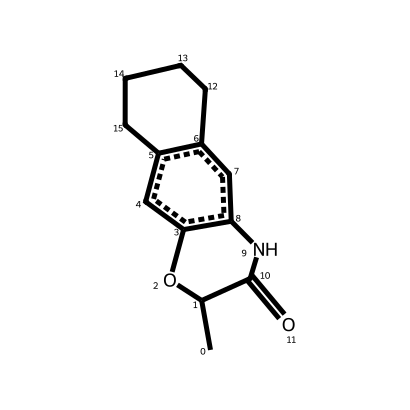 CC1Oc2cc3c(cc2NC1=O)CCCC3